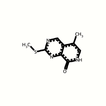 CSc1ncc2c(C)c[nH]c(=O)c2n1